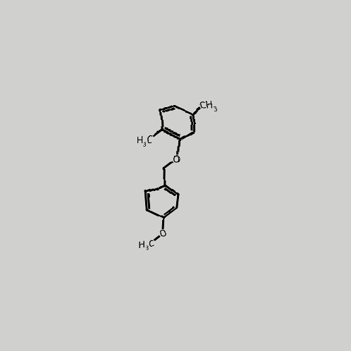 COc1ccc(COc2cc(C)ccc2C)cc1